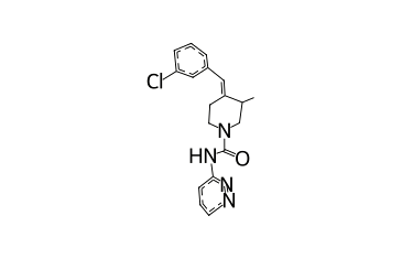 CC1CN(C(=O)Nc2cccnn2)CCC1=Cc1cccc(Cl)c1